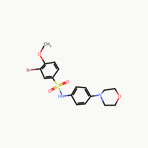 COc1ccc(S(=O)(=O)Nc2ccc(N3CCOCC3)cc2)cc1Br